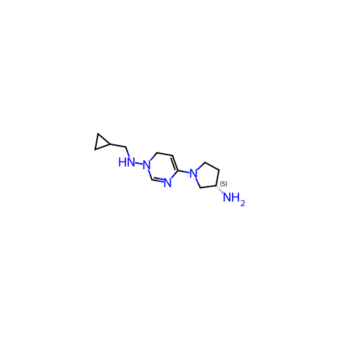 N[C@H]1CCN(C2=CCN(NCC3CC3)C=N2)C1